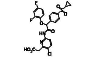 O=C(O)Cc1nc(NC(=O)C(Oc2ccc(F)cc2F)c2ccc(S(=O)(=O)C3CC3)cc2)ccc1Cl